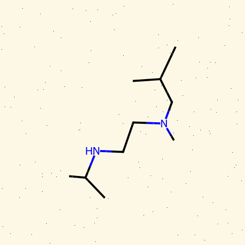 CC(C)CN(C)CCNC(C)C